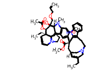 C=CCOCC1(O)[C@H](OC(C)=O)[C@]2(CC)C=CCN3CC[C@@]4(c5cc([C@@]6(C(=O)OC)C[C@@H]7C=C(CC)CN(CCc8c6[nH]c6ccccc86)C7)c(OC)cc5N(C)[C@@H]14)C32